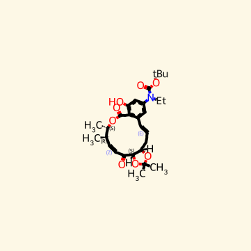 CCN(C(=O)OC(C)(C)C)c1cc(O)c2c(c1)/C=C/C[C@@H]1OC(C)(C)O[C@@H]1C(=O)/C=C\[C@@H](C)[C@H](C)OC2=O